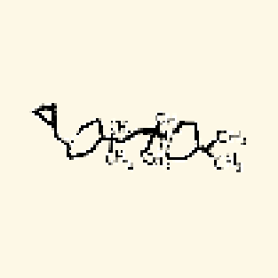 CC(C)C1CCN(C(C)(C)CCC(C)(C)C2CCN(CC3CC3)CC2)CC1